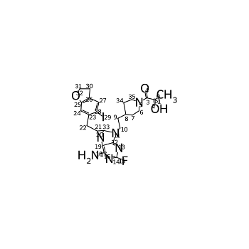 C[C@H](O)C(=O)N1CCC(CCN2c3nc(F)nc(N)c3N3C(Cc4cc5c(cc4I)CCO5)C23)CC1